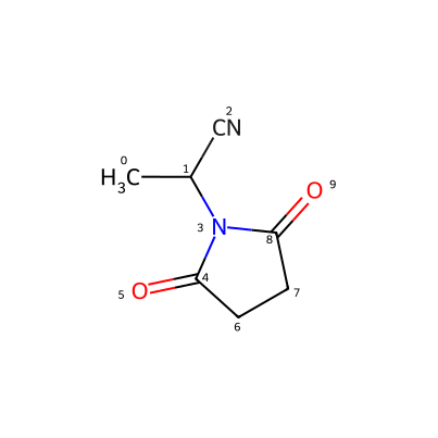 CC(C#N)N1C(=O)CCC1=O